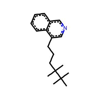 CC(C)(C)C(C)(C)CCCc1cncc2ccccc12